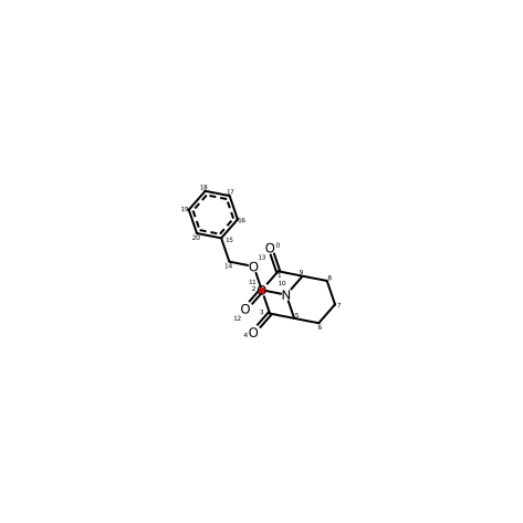 O=C1OC(=O)C2CCCC1N2C(=O)OCc1ccccc1